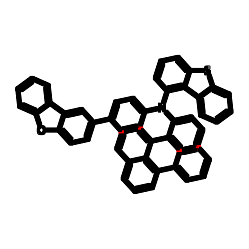 c1ccc(-c2cccc3cccc(-c4ccccc4N(c4ccc(-c5ccc6oc7ccccc7c6c5)cc4)c4cccc5sc6ccccc6c45)c23)cc1